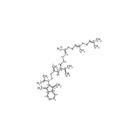 C=C(CCC(C(=C)C)n1c(=C)c2ccccc2c1=C)N[C@@H](CSC/C=C(\C)CC/C=C(\C)CCC=C(C)C)C(=C)C